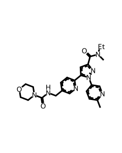 CCN(C)C(=O)c1cc(-c2ccc(CNC(=O)N3CCOCC3)cn2)n(-c2ccc(C)nc2)n1